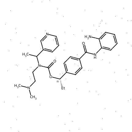 CC[C@H](OC(=O)N(CCN(C)C)C(C)c1cccnc1)c1ccc(C(=O)Nc2ccccc2N)cc1